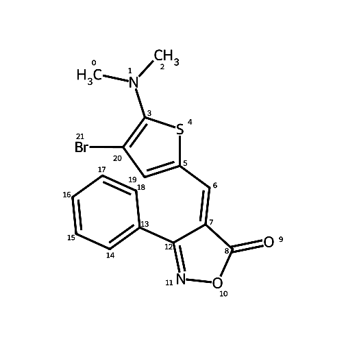 CN(C)c1sc(/C=C2/C(=O)ON=C2c2ccccc2)cc1Br